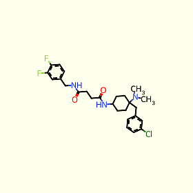 CN(C)C1(Cc2cccc(Cl)c2)CCC(NC(=O)CCC(=O)NCc2ccc(F)c(F)c2)CC1